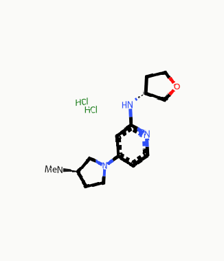 CN[C@@H]1CCN(c2ccnc(N[C@@H]3CCOC3)c2)C1.Cl.Cl